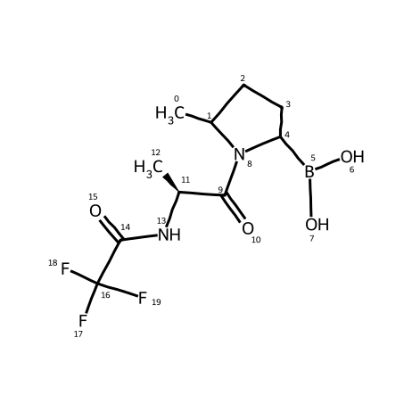 CC1CCC(B(O)O)N1C(=O)[C@H](C)NC(=O)C(F)(F)F